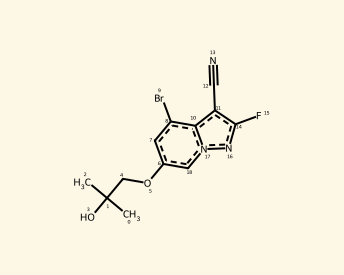 CC(C)(O)COc1cc(Br)c2c(C#N)c(F)nn2c1